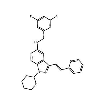 Fc1cc(F)cc(CNc2ccc3c(c2)c(C=Cc2ccccn2)nn3C2CCCCO2)c1